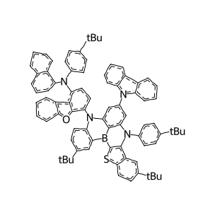 CC(C)(C)c1ccc(N2c3cc(-n4c5ccccc5c5ccccc54)cc4c3B(c3cc(C(C)(C)C)ccc3N4c3ccc(N(c4ccc(C(C)(C)C)cc4)c4cccc5ccccc45)c4c3oc3ccccc34)c3sc4ccc(C(C)(C)C)cc4c32)cc1